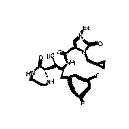 CCN1CC(C(=O)N[C@@H](Cc2cc(F)cc(F)c2)[C@H](O)[C@@H]2NCCNC2=O)N(CC2CC2)C1=O